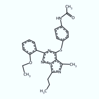 CCCc1nc(C)c2c(Sc3ccc(NC(C)=O)cc3)nc(-c3ccccc3OCC)nn12